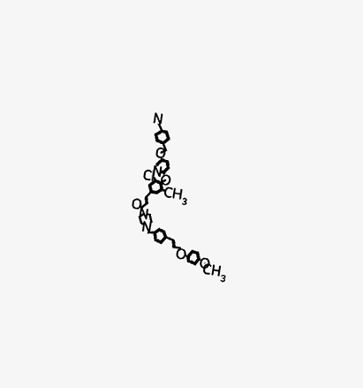 COc1ccc(OCC=Cc2ccc(CN3CCN(C(=O)C=Cc4cc(C)c(Oc5ccc(OCc6ccc(C#N)cc6)cn5)c(Cl)c4)CC3)cc2)cc1